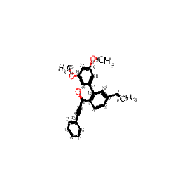 CCc1ccc(C(=O)C#Cc2ccccc2)c(-c2cc(OC)cc(OC)c2)c1